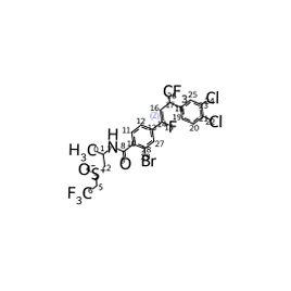 CC(C[S+]([O-])CC(F)(F)F)NC(=O)c1ccc(/C(F)=C/C(c2ccc(Cl)c(Cl)c2)C(F)(F)F)cc1Br